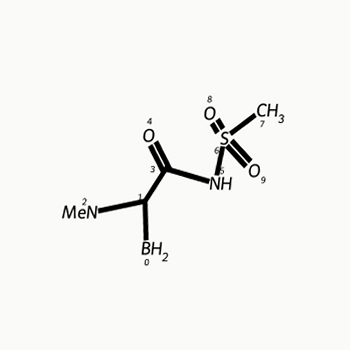 BC(NC)C(=O)NS(C)(=O)=O